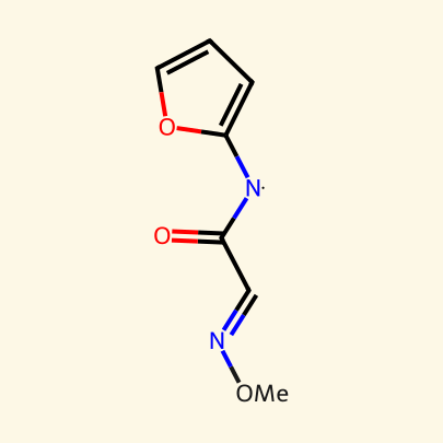 CON=CC(=O)[N]c1ccco1